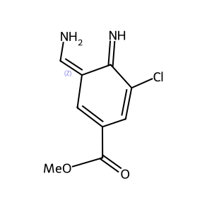 COC(=O)C1=C/C(=C/N)C(=N)C(Cl)=C1